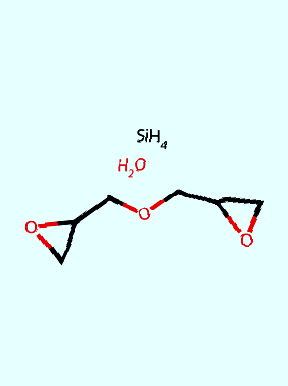 C(OCC1CO1)C1CO1.O.[SiH4]